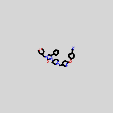 N#Cc1ccc(Oc2ccc(CN3CCC(N4C(=O)N(CC5CCOCC5)CC4c4ccccc4)CC3)cn2)cc1